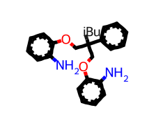 CCC(C)C(COc1ccccc1N)(COc1ccccc1N)c1ccccc1